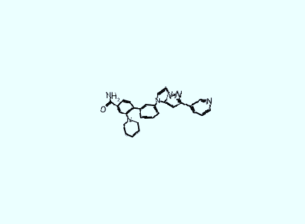 NC(=O)c1ccc(-c2cccc(-n3ccn4nc(-c5cccnc5)cc34)c2)c(N2CCCCC2)c1